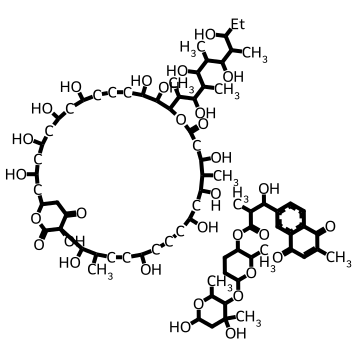 CC1=CC(=O)c2cc(C(O)C(C)C(=O)OC3CCC(OC4C(C)OC(O)CC4(C)O)OC3C)ccc2C1=O.CCC(O)C(C)C(O)C(C)C(O)C(C)C(O)C(C)C1OC(=O)CC(O)C(C)C(O)CC(O)CCCC(O)CCC(C)C(O)C2(O)C(=O)CC(CC(O)CC(O)CC(O)CC(O)CCCC(O)C1O)OC2=O